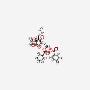 CCCCO[C@H]1[C@@H](CC(COC(=O)c2ccccc2)OC(=O)c2ccccc2)OC2OC(C)(C)O[C@@H]21